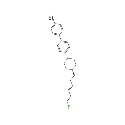 CCc1ccc(-c2ccc([C@H]3CC[C@H](CCC=CCCF)CC3)cc2)cc1